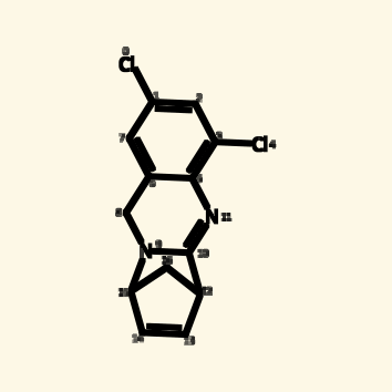 Clc1cc(Cl)c2c(c1)CN1C(=N2)C2C=CC1C2